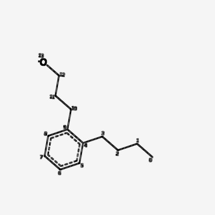 CCCCc1ccccc1CCC[O]